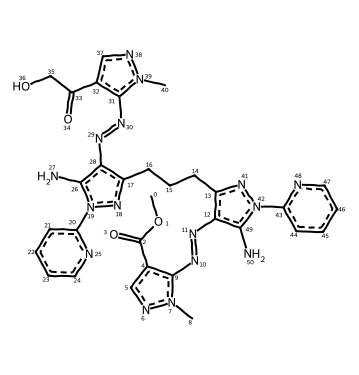 COC(=O)c1cnn(C)c1/N=N/c1c(CCCc2nn(-c3ccccn3)c(N)c2/N=N/c2c(C(=O)CO)cnn2C)nn(-c2ccccn2)c1N